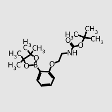 CC(C)(C)OC(=O)NCCOc1ccccc1B1OC(C)(C)C(C)(C)O1